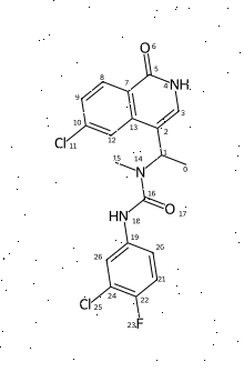 CC(c1c[nH]c(=O)c2ccc(Cl)cc12)N(C)C(=O)Nc1ccc(F)c(Cl)c1